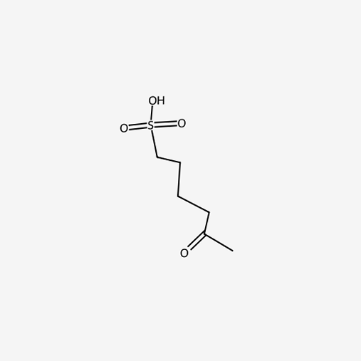 CC(=O)CCCCS(=O)(=O)O